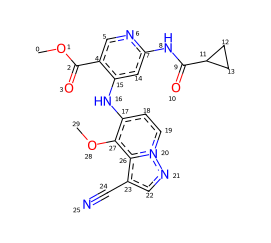 COC(=O)c1cnc(NC(=O)C2CC2)cc1Nc1ccn2ncc(C#N)c2c1OC